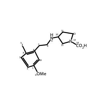 COc1ccc(I)c(CCNC2CCN(C(=O)O)C2)c1